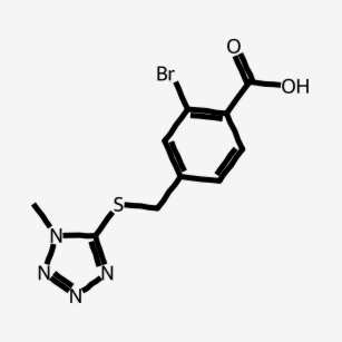 Cn1nnnc1SCc1ccc(C(=O)O)c(Br)c1